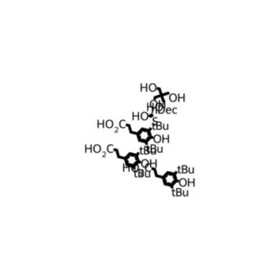 CC(C)(C)c1cc(CCC(=O)O)cc(C(C)(C)C)c1O.CC(C)(C)c1cc(CCC(=O)O)cc(C(C)(C)C)c1O.CC(C)(C)c1cc(CCC(=O)O)cc(C(C)(C)C)c1O.CCCCCCCCCCC(O)=S.OCC(CO)(CO)CO